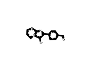 O=Cc1ccc(-c2nc3ncccn3c2Br)cc1